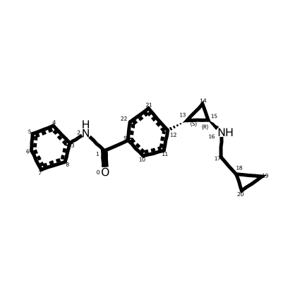 O=C(Nc1ccccc1)c1ccc([C@@H]2C[C@H]2NCC2CC2)cc1